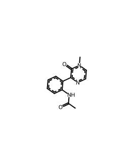 CC(=O)Nc1ccccc1-c1nccn(C)c1=O